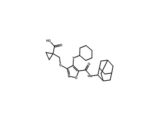 O=C(NC1C2CC3CC(C2)CC1C3)c1onc(OCC2(C(=O)O)CC2)c1SC1CCCCC1